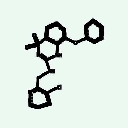 O=S1(=O)N=C(NCc2ncccc2Cl)Nc2c(Oc3ccccc3)cccc21